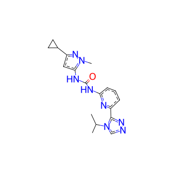 CC(C)n1cnnc1-c1cccc(NC(=O)Nc2cc(C3CC3)nn2C)n1